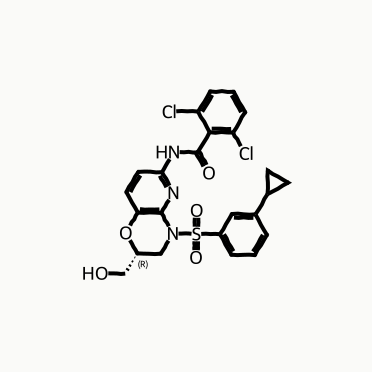 O=C(Nc1ccc2c(n1)N(S(=O)(=O)c1cccc(C3CC3)c1)C[C@H](CO)O2)c1c(Cl)cccc1Cl